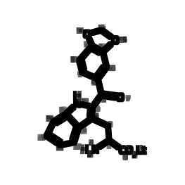 CCOC(=O)C(N)Cc1c(C(=O)c2ccc3c(c2)OCO3)[nH]c2ccccc12